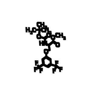 COC(=O)C(COc1cc(C(F)(F)F)cc(C(F)(F)F)c1)NC(=O)OC(C)(C)C